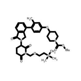 Cc1cc(OC2CCN(C(=O)OC(C)(C)C)CC2)ccc1-c1cccc2c1CN(C1CCC(=O)N(COCC[Si](C)(C)C)C1=O)C2=O